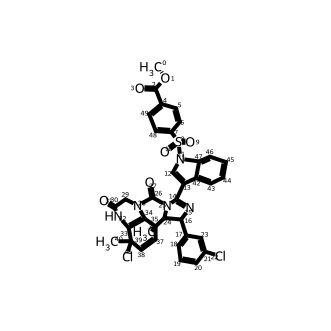 COC(=O)c1ccc(S(=O)(=O)n2cc(C3=NC(c4cccc(Cl)c4)C4N3C(=O)N3CC(=O)NC5=C3C4(C)C=CC5(C)Cl)c3ccccc32)cc1